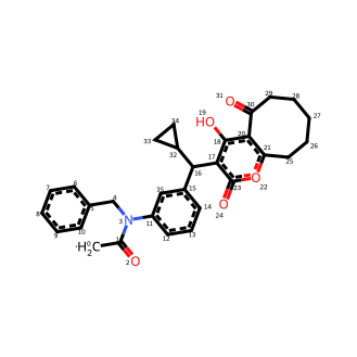 [CH2]C(=O)N(Cc1ccccc1)c1cccc(C(c2c(O)c3c(oc2=O)CCCCCC3=O)C2CC2)c1